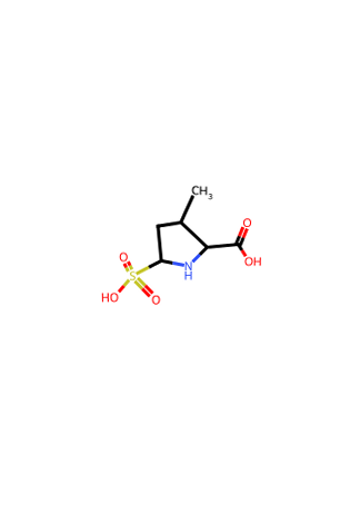 CC1CC(S(=O)(=O)O)NC1C(=O)O